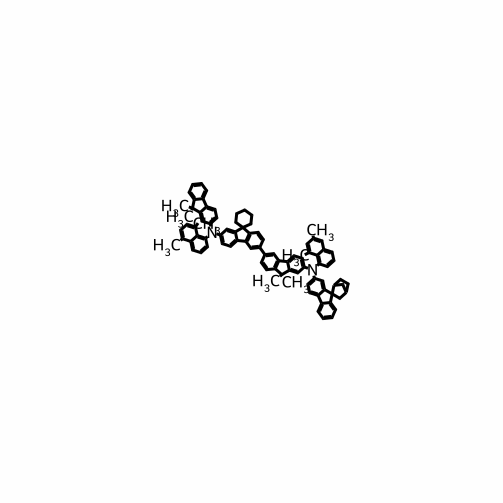 Cc1cc(C)c2c(N(c3ccc4c(c3)C(C)(C)c3ccc(-c5ccc6c(c5)-c5ccc(N(c7ccc8c(c7)C(C)(C)c7ccccc7-8)c7cccc8c(C)ccc(C)c78)cc5C65CCCCC5)cc3-4)c3ccc4c(c3)C3(CC5CCC3C5)c3ccccc3-4)cccc2c1